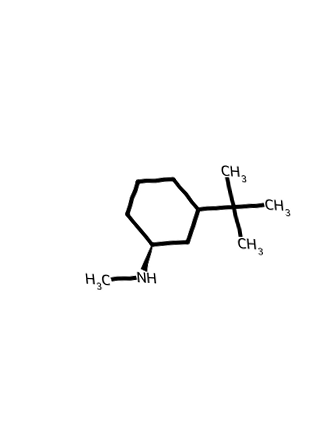 CN[C@H]1CCCC(C(C)(C)C)C1